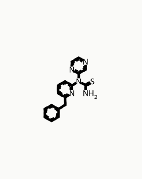 NC(=S)N(c1cnccn1)c1cccc(Cc2ccccc2)n1